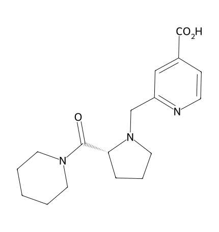 O=C(O)c1ccnc(CN2CCC[C@@H]2C(=O)N2CCCCC2)c1